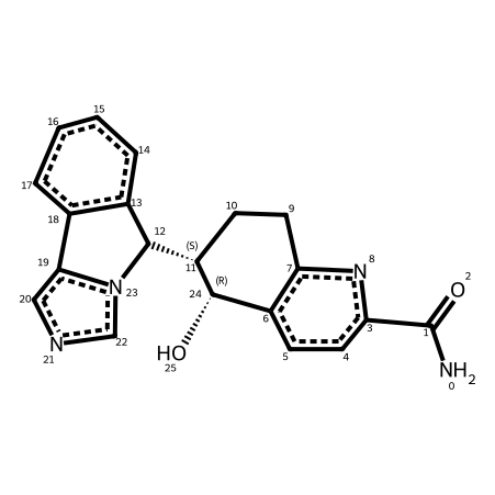 NC(=O)c1ccc2c(n1)CC[C@@H](C1c3ccccc3-c3cncn31)[C@H]2O